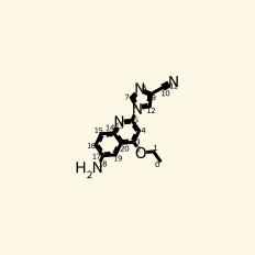 CCOc1cc(-n2cnc(C#N)c2)nc2ccc(N)cc12